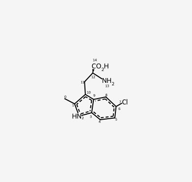 Cc1[nH]c2ccc(Cl)cc2c1C[C@H](N)C(=O)O